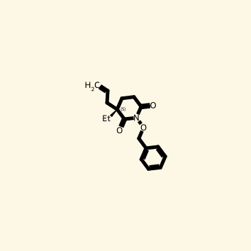 C=CC[C@]1(CC)CCC(=O)N(OCc2ccccc2)C1=O